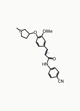 COc1cc(/C=C/C(=O)Nc2ccc(C#N)cc2)ccc1OC1CCN(C)C1